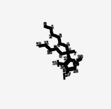 CCCCCCC(C)(CCCCC)c1c(I)c(F)cn1C